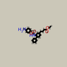 CCOC(=O)CCCc1ccc(-c2ccccc2)c(NC(=O)O[C@]2(C)CC[C@@H](N)CC2)c1